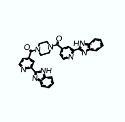 O=C(c1ccnc(-c2nc3ccccc3[nH]2)c1)N1CCN(C(=O)c2ccnc(-c3nc4ccccc4[nH]3)c2)CC1